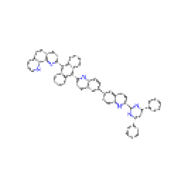 c1ccc(-c2cc(-c3ccccc3)nc(-c3ccc4cc(-c5ccc6nc(-c7c8ccccc8c(-c8ccc9ccc%10cccnc%10c9n8)c8ccccc78)ccc6c5)ccc4n3)n2)cc1